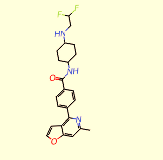 Cc1cc2occc2c(-c2ccc(C(=O)NC3CCC(NCC(F)F)CC3)cc2)n1